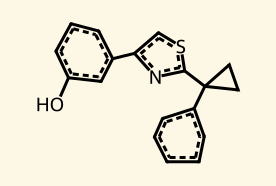 Oc1cccc(-c2csc(C3(c4ccccc4)CC3)n2)c1